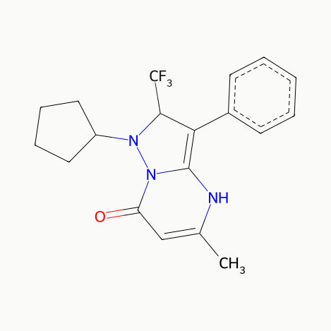 CC1=CC(=O)N2C(=C(c3ccccc3)C(C(F)(F)F)N2C2CCCC2)N1